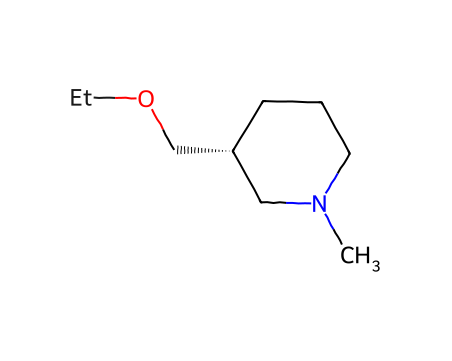 CCOC[C@@H]1CCCN(C)C1